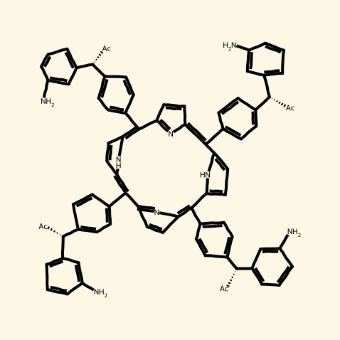 CC(=O)[C@H](c1ccc(-c2c3nc(c(-c4ccc([C@@H](C(C)=O)c5cccc(N)c5)cc4)c4ccc([nH]4)c(-c4ccc([C@@H](C(C)=O)c5cccc(N)c5)cc4)c4nc(c(-c5ccc([C@@H](C(C)=O)c6cccc(N)c6)cc5)c5ccc2[nH]5)C=C4)C=C3)cc1)c1cccc(N)c1